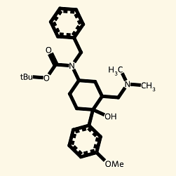 COc1cccc(C2(O)CCC(N(Cc3ccccc3)C(=O)OC(C)(C)C)CC2CN(C)C)c1